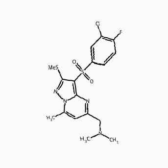 CSc1nn2c(C)cc(CN(C)C)nc2c1S(=O)(=O)c1ccc(F)c(Cl)c1